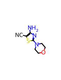 N#Cc1sc(N2CCOCC2)nc1N